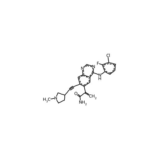 C=C(C(N)=O)c1cc2c(Nc3cccc(Cl)c3F)ncnc2cc1C#CC1CCN(C)C1